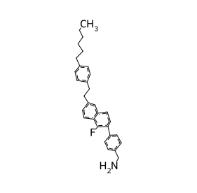 CCCCCCc1ccc(CCc2ccc3c(F)c(-c4ccc(CN)cc4)ccc3c2)cc1